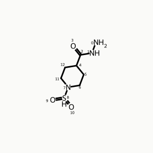 NNC(=O)C1CCN([SH](=O)=O)CC1